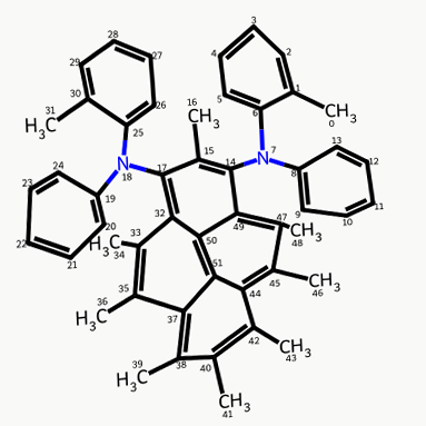 Cc1ccccc1N(c1ccccc1)c1c(C)c(N(c2ccccc2)c2ccccc2C)c2c(C)c(C)c3c(C)c(C)c(C)c4c(C)c(C)c1c2c43